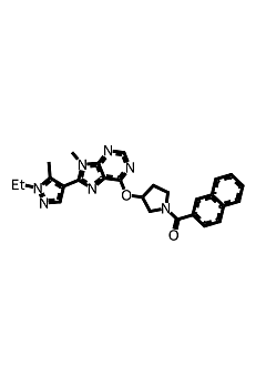 CCn1ncc(-c2nc3c(OC4CCN(C(=O)c5ccc6ccccc6c5)C4)ncnc3n2C)c1C